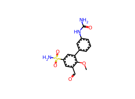 COc1c(C=O)cc(S(N)(=O)=O)cc1-c1cccc(NC(N)=O)c1